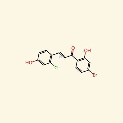 O=C(/C=C/c1ccc(O)cc1Cl)c1ccc(Br)cc1O